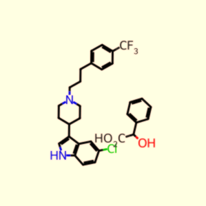 FC(F)(F)c1ccc(CCCN2CCC(c3c[nH]c4ccc(Cl)cc34)CC2)cc1.O=C(O)C(O)c1ccccc1